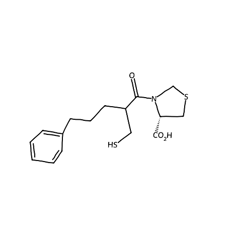 O=C(O)[C@H]1CSCN1C(=O)C(CS)CCCc1ccccc1